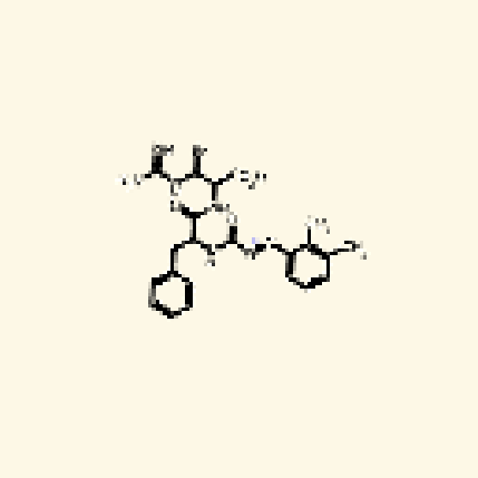 CCC(NC(=N)N)C(NC(=O)C(Cc1ccccc1)NC(=O)/N=N/c1cccc(C)c1C)C(=O)O